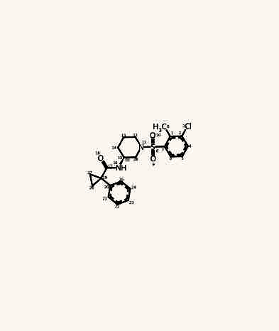 Cc1c(Cl)cccc1S(=O)(=O)N1CCC[C@H](NC(=O)C2(c3ccccc3)CC2)C1